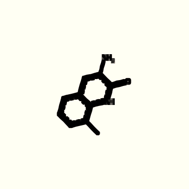 Cc1cccc2cc(N)c(=O)[nH]c12